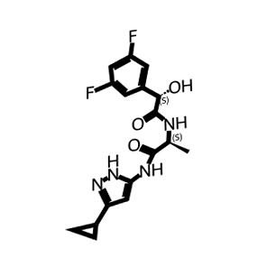 C[C@H](NC(=O)[C@@H](O)c1cc(F)cc(F)c1)C(=O)Nc1cc(C2CC2)n[nH]1